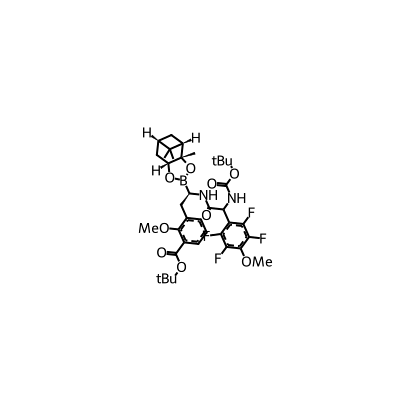 COc1c(C[C@H](NC(=O)C(NC(=O)OC(C)(C)C)c2c(F)c(F)c(OC)c(F)c2F)B2O[C@@H]3C[C@@H]4C[C@@H](C4(C)C)[C@]3(C)O2)cccc1C(=O)OC(C)(C)C